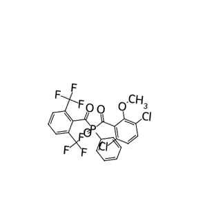 COc1c(Cl)ccc(Cl)c1C(=O)P(=O)(C(=O)c1c(C(F)(F)F)cccc1C(F)(F)F)c1ccccc1